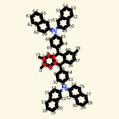 Cc1ccc2c(c1)C1(c3ccc(N(c4ccc5ccccc5c4)c4ccc5ccccc5c4)cc3)c3ccc(C)cc3C2(c2ccc(N(c3ccc4ccccc4c3)c3ccc4ccccc4c3)cc2)c2cc(C)ccc21